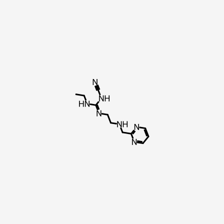 CCNC(=NCCNCc1ncccn1)NC#N